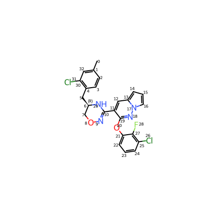 Cc1ccc(C[C@@H]2CON=C(c3cc4cccn4nc3Oc3cccc(Cl)c3F)N2)c(Cl)c1